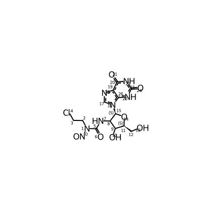 O=NN(CCCl)C(=O)NC1C(O)[C@H](CO)O[C@@H]1n1cnc2c(=O)[nH]c(=O)[nH]c21